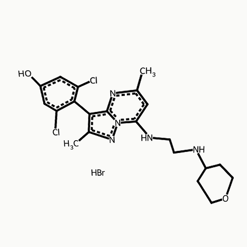 Br.Cc1cc(NCCNC2CCOCC2)n2nc(C)c(-c3c(Cl)cc(O)cc3Cl)c2n1